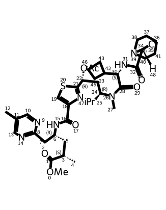 COC(=O)[C@@H](C)C[C@H](Cc1ncc(C)cn1)NC(=O)c1csc([C@@H](C[C@H](C(C)C)N(C)C(=O)[C@@H](NC(=O)[C@H]2CC3CCN2CC3)C2CCC2)OC(C)=O)n1